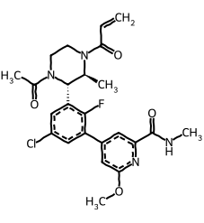 C=CC(=O)N1CCN(C(C)=O)[C@@H](c2cc(Cl)cc(-c3cc(OC)nc(C(=O)NC)c3)c2F)[C@@H]1C